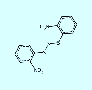 O=[N+]([O-])c1ccccc1SSSc1ccccc1[N+](=O)[O-]